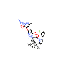 CC[C@@H](NC(=O)c1ccc(Oc2cc(C)n[nH]c2=O)cn1)C(=O)N1[C@H](c2cccc(F)c2)CC[C@@H]1C(CC)(CC)C(=O)O